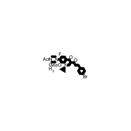 COc1c(N2CCN(C(C)=O)C(C)C2)c(F)cc2c(=O)c(C(=O)C=Cc3ccc(Br)cc3)cn(C3CC3)c12